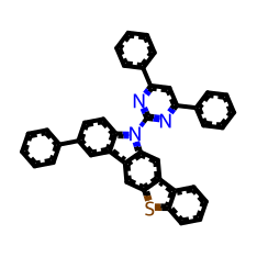 c1ccc(-c2ccc3c(c2)c2cc4sc5ccccc5c4cc2n3-c2nc(-c3ccccc3)cc(-c3ccccc3)n2)cc1